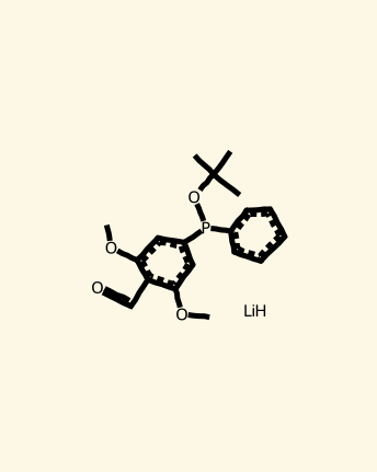 COc1cc(P(OC(C)(C)C)c2ccccc2)cc(OC)c1C=O.[LiH]